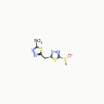 C[S+]([O-])c1nnc(Cc2nnc([N+](=O)[O-])s2)s1